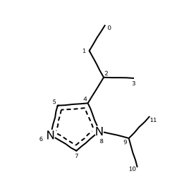 CCC(C)c1cncn1C(C)C